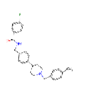 Cc1ccc(CN2CCC(c3ccc(CNC(=O)c4ccc(F)cc4)cc3)CC2)cc1